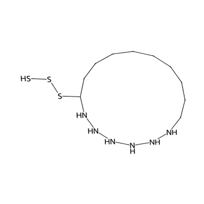 SSSC1CCCCCCCCCNNNNNN1